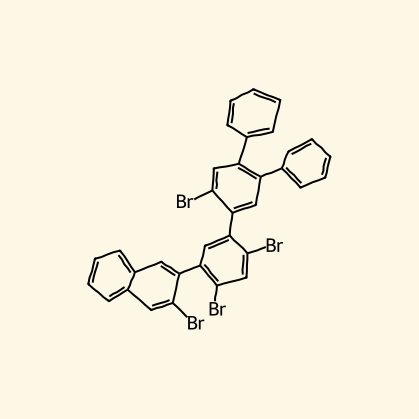 Brc1cc(Br)c(-c2cc3ccccc3cc2Br)cc1-c1cc(-c2ccccc2)c(-c2ccccc2)cc1Br